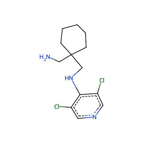 NCC1(CNc2c(Cl)cncc2Cl)CCCCC1